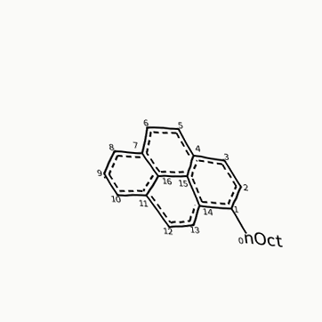 CCCCCCCCc1ccc2ccc3c[c]cc4ccc1c2c34